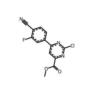 COC(=O)c1cc(-c2ccc(C#N)c(F)c2)nc(Cl)n1